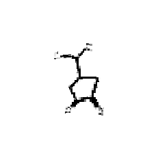 O=C1CC(C(Cl)Cl)CC1=O